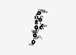 COc1ccc(CN2CCN(C3CC4(C3)CN(c3ccc(C(=O)NS(=O)(=O)c5ccc(NC[C@H]6CC[C@](C)(O)CC6)c([N+](=O)[O-])c5)c(Oc5cnc6[nH]cc(F)c6c5)c3)C4)[C@H](c3ccccc3C(C)C)C2)cc1OC